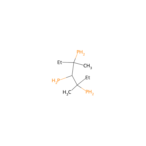 CCC(C)(P)C(P)C(C)(P)CC